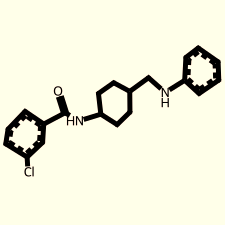 O=C(NC1CCC(CNc2ccccc2)CC1)c1cccc(Cl)c1